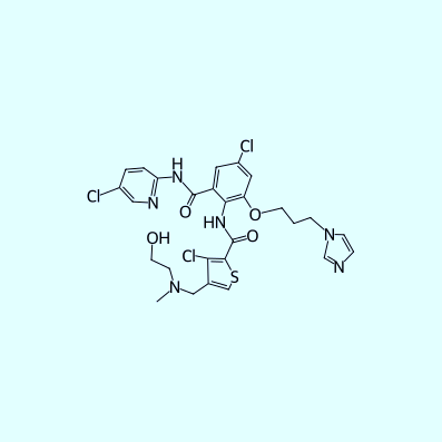 CN(CCO)Cc1csc(C(=O)Nc2c(OCCCn3ccnc3)cc(Cl)cc2C(=O)Nc2ccc(Cl)cn2)c1Cl